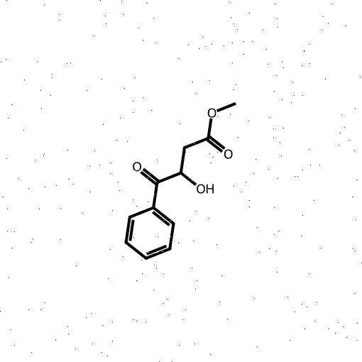 COC(=O)CC(O)C(=O)c1ccccc1